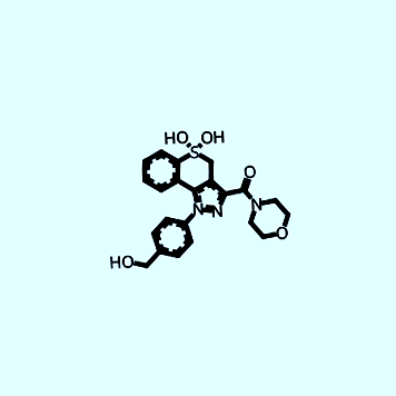 O=C(c1nn(-c2ccc(CO)cc2)c2c1CS(O)(O)c1ccccc1-2)N1CCOCC1